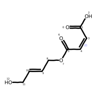 O=C(O)/C=C\C(=O)OCC=CCO